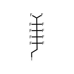 FC(F)C(F)(F)C(F)(F)C(F)(F)C(F)(F)CCI